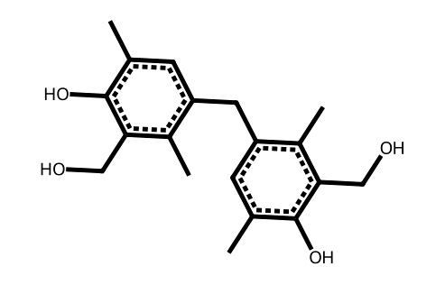 Cc1cc(Cc2cc(C)c(O)c(CO)c2C)c(C)c(CO)c1O